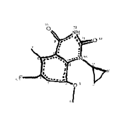 COc1cc(F)c(C)c2c(=O)[nH]c(=O)n(C3CC3)c12